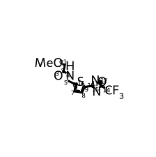 COCC(=O)NCc1ccc(-c2noc(C(F)(F)F)n2)s1